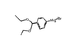 CCOC(OCC)c1cc[c]([Mg][Br])cc1